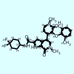 Cc1cccc(C)c1Oc1c(-c2cn(C)c(=O)c3[nH]c(C(=O)NC4CCC(F)(F)CC4)cc23)ccn(C)c1=O